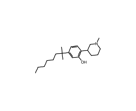 CCCCCCC(C)(C)c1ccc(C2CCCN(C)C2)c(O)c1